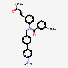 COC(=O)/C=C/c1cccc(N(Cc2ccc(-c3ccc(N(C)C)cc3)cc2)C(=O)c2cccc(OC)c2)c1